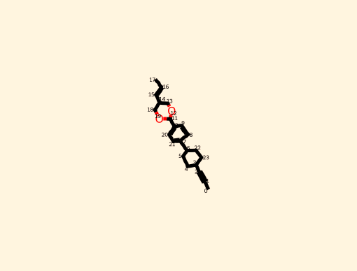 CC#CC1CCC(c2ccc(C3OCC(C=CC)CO3)cc2)CC1